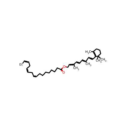 CC/C=C\C/C=C\C/C=C\CCCCCCCC(=O)OC/C=C(C)/C=C/C=C(C)/C=C/C1=C(C)CCCC1(C)C